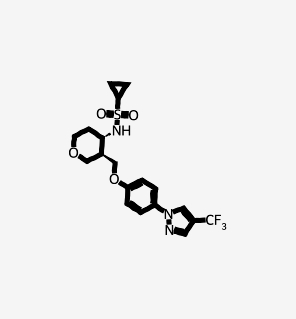 O=S(=O)(N[C@H]1CCOC[C@@H]1COc1ccc(-n2cc(C(F)(F)F)cn2)cc1)C1CC1